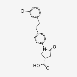 O=C(O)[C@H]1CC(=O)N(c2ccc(CCc3cccc(Cl)c3)cc2)C1